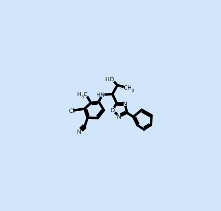 Cc1c(NC(c2nc(-c3ccccc3)no2)C(C)O)ccc(C#N)c1Cl